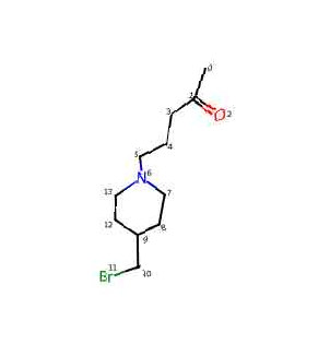 CC(=O)CCCN1CCC(CBr)CC1